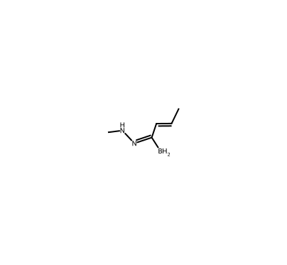 B/C(C=CC)=N/NC